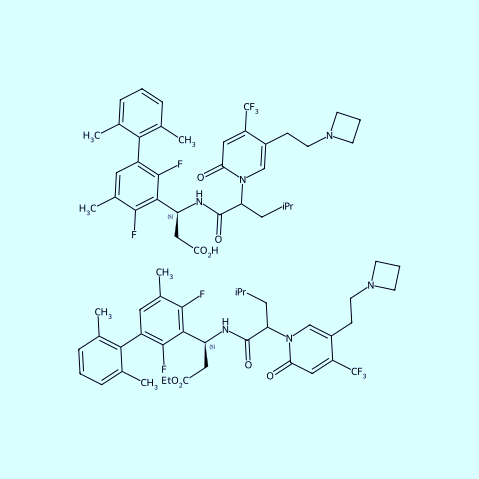 CCOC(=O)C[C@H](NC(=O)C(CC(C)C)n1cc(CCN2CCC2)c(C(F)(F)F)cc1=O)c1c(F)c(C)cc(-c2c(C)cccc2C)c1F.Cc1cc(-c2c(C)cccc2C)c(F)c([C@H](CC(=O)O)NC(=O)C(CC(C)C)n2cc(CCN3CCC3)c(C(F)(F)F)cc2=O)c1F